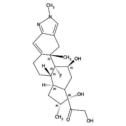 C[C@@H]1C[C@@H]2C(C[C@H](O)[C@@]3(F)[C@H]2CCC2=Cc4nn(C)cc4C[C@@]23C)[C@@]1(O)C(=O)CO